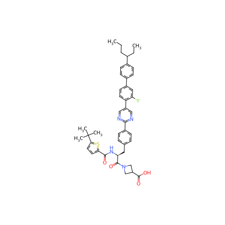 CCCC(CC)c1ccc(-c2ccc(-c3cnc(-c4ccc(C[C@H](NC(=O)c5ccc(C(C)(C)C)s5)C(=O)N5CC(C(=O)O)C5)cc4)nc3)c(F)c2)cc1